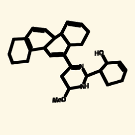 COC1CC(C2=CC3C4=C(C=CC3C3C=CCCC23)CCCC4)=NC(C2CCC=CC2O)N1